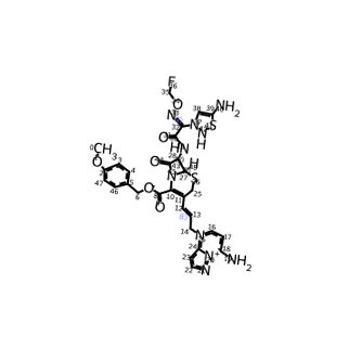 COc1ccc(COC(=O)C2=C(/C=C/Cn3ccc(N)[n+]4nccc3-4)CS[C@@H]3[C@H](NC(=O)/C(=N/OCF)N4C=C(N)SN4)C(=O)N23)cc1